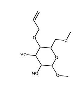 C=CCOC1C(COC)OC(OC)C(O)C1O